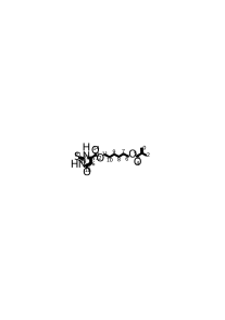 C=C(C)C(=O)OCCCCCCOC(=O)c1cc(=O)[nH]c(=S)[nH]1